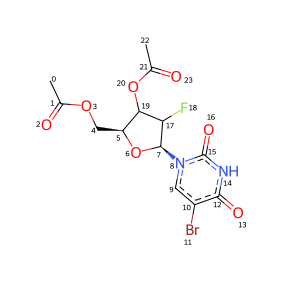 CC(=O)OC[C@@H]1O[C@H](n2cc(Br)c(=O)[nH]c2=O)C(F)C1OC(C)=O